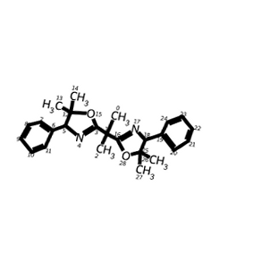 CC(C)(C1=NC(c2ccccc2)C(C)(C)O1)C1=NC(c2ccccc2)C(C)(C)O1